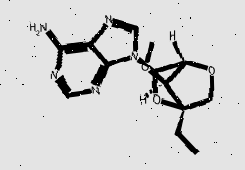 CC[C@@]12CO[C@@H]([C@H](n3cnc4c(N)ncnc43)O1)[C@@H]2OC